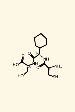 N[C@@H](CS)C(=O)N[C@H](C(=O)N[C@@H](CO)C(=O)O)C1CCCCC1